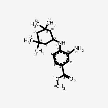 COC(=O)c1ccc(NC2CC(C)(C)CC(C)(C)C2)c(N)c1